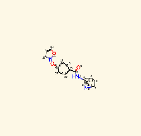 O=C(NC1CC2CCN(CC2)C1)c1ccc(ON2CC=CO2)cc1